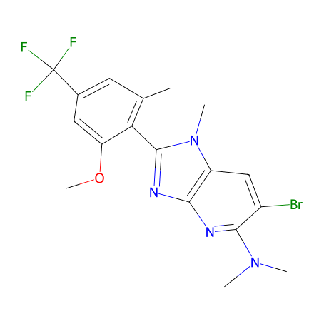 COc1cc(C(F)(F)F)cc(C)c1-c1nc2nc(N(C)C)c(Br)cc2n1C